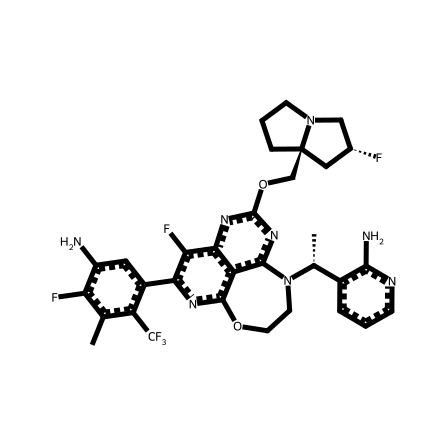 Cc1c(F)c(N)cc(-c2nc3c4c(nc(OC[C@@]56CCCN5C[C@H](F)C6)nc4c2F)N([C@H](C)c2cccnc2N)CCO3)c1C(F)(F)F